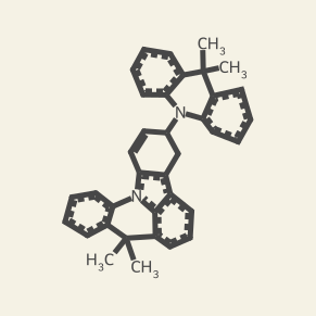 CC1(C)c2ccccc2N(C2C=Cc3c(c4cccc5c4n3-c3ccccc3C5(C)C)C2)c2ccccc21